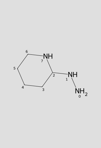 NNC1CCCCN1